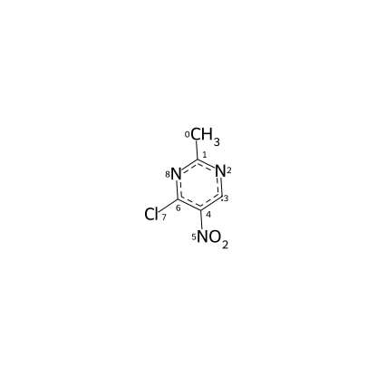 Cc1n[c]c([N+](=O)[O-])c(Cl)n1